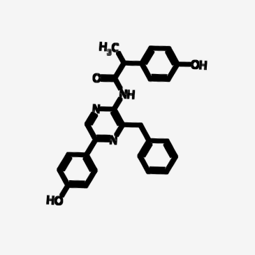 CC(C(=O)Nc1ncc(-c2ccc(O)cc2)nc1Cc1ccccc1)c1ccc(O)cc1